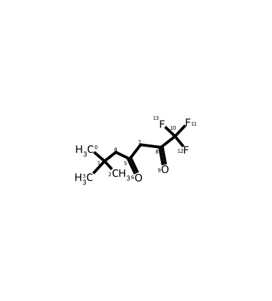 CC(C)(C)CC(=O)CC(=O)C(F)(F)F